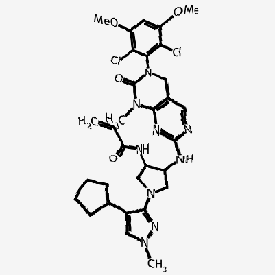 C=CC(=O)NC1CN(c2nn(C)cc2C2CCCC2)CC1Nc1ncc2c(n1)N(C)C(=O)N(c1c(Cl)c(OC)cc(OC)c1Cl)C2